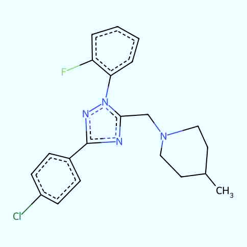 CC1CCN(Cc2nc(-c3ccc(Cl)cc3)nn2-c2ccccc2F)CC1